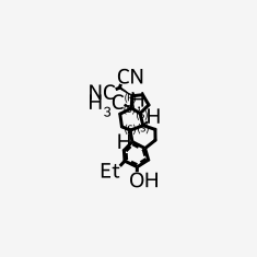 CCc1cc2c(cc1O)CC[C@@H]1[C@@H]2CC[C@]2(C)[C@@H](C(C#N)C#N)CC[C@@H]12